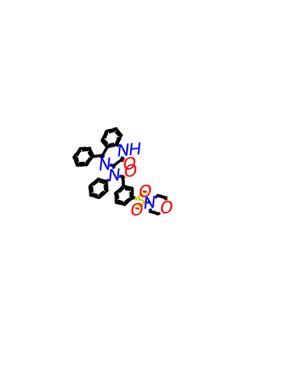 O=C1Nc2ccccc2C(c2ccccc2)=NC1N(C(=O)c1cccc(S(=O)(=O)N2CCOCC2)c1)c1ccccc1